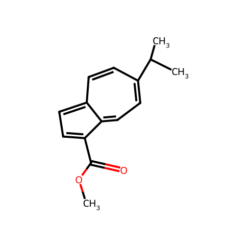 COC(=O)c1ccc2ccc(C(C)C)ccc1-2